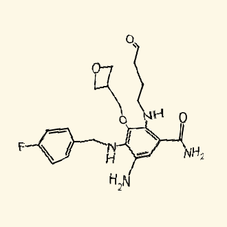 NC(=O)c1cc(N)c(NCc2ccc(F)cc2)c(OCC2COC2)c1NCCCC=O